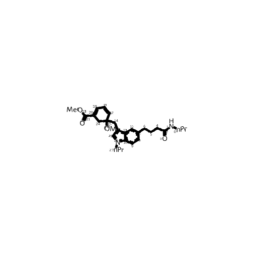 CCCNC(=O)CCCc1ccc2c(c1)c(CC1(OC)C=CC=C(C(=O)OC)C1)cn2CCC